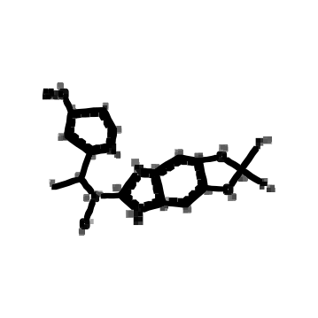 COc1ccnc(C(C)[S+]([O-])c2nc3cc4c(cc3[nH]2)OC(F)(F)O4)c1